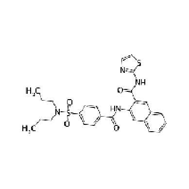 CCCN(CCC)S(=O)(=O)c1ccc(C(=O)Nc2cc3ccccc3cc2C(=O)Nc2nccs2)cc1